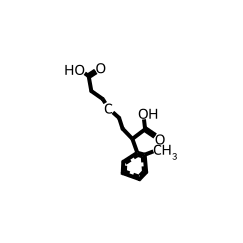 Cc1ccccc1C(CCCCCC(=O)O)C(=O)O